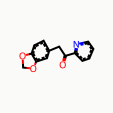 O=C(Cc1ccc2c(c1)OCO2)c1ccccn1